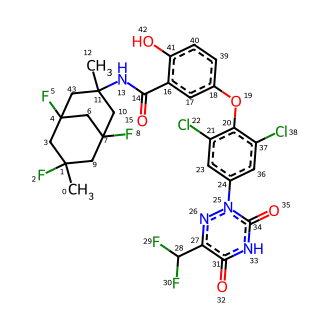 CC1(F)CC2(F)CC(F)(C1)CC(C)(NC(=O)c1cc(Oc3c(Cl)cc(-n4nc(C(F)F)c(=O)[nH]c4=O)cc3Cl)ccc1O)C2